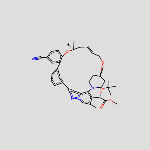 COC(=O)[C@@H](OC(C)(C)C)c1c(C)cn2nc3cc2c1N1CCC(C)(CC1)OC/C=C/C[C@H](C)Oc1ccc(C#N)cc1-c1cccc-3c1